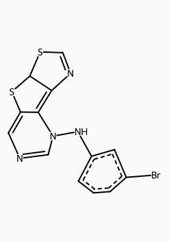 Brc1cccc(NN2C=NC=C3SC4SC=NC4=C32)c1